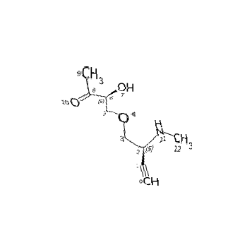 C#C[C@@H](COC[C@H](O)C(C)=O)NC